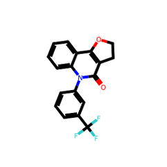 O=c1c2c(c3ccccc3n1-c1cccc(C(F)(F)F)c1)OCC2